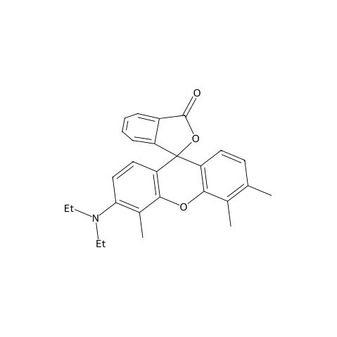 CCN(CC)c1ccc2c(c1C)Oc1c(ccc(C)c1C)C21OC(=O)c2ccccc21